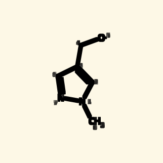 Cn1cc(C[O])cn1